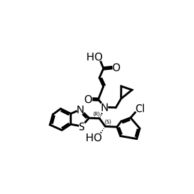 O=C(O)C=CC(=O)N(CC1CC1)[C@@H](c1nc2ccccc2s1)[C@@H](O)c1cccc(Cl)c1